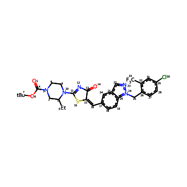 CCC1CN(C(=O)OC(C)(C)C)CCN1C1=NC(=O)C(=Cc2ccc3c(cnn3Cc3ccc(Cl)cc3C(F)(F)F)c2)S1